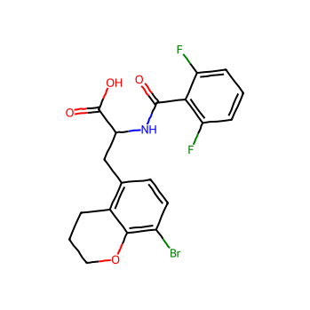 O=C(NC(Cc1ccc(Br)c2c1CCCO2)C(=O)O)c1c(F)cccc1F